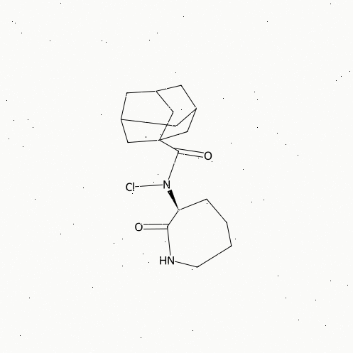 O=C1NCCCC[C@@H]1N(Cl)C(=O)C12CC3CC(CC(C3)C1)C2